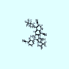 Cc1c(C#N)cccc1[C@H](Nc1cc(C#N)c2ncc(C#N)c(NCC(C)(C)C(C)(F)F)c2c1)C1=CN(C2(C(F)F)CC2)NN1